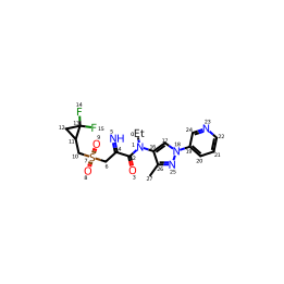 CCN(C(=O)C(=N)CS(=O)(=O)CC1CC1(F)F)c1cn(-c2cccnc2)nc1C